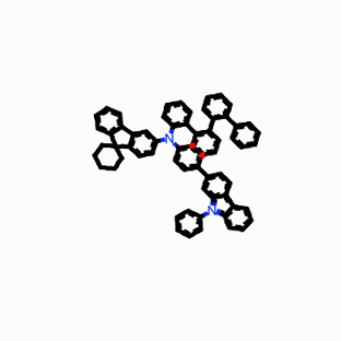 c1ccc(-c2ccccc2-c2ccccc2-c2ccccc2N(c2ccc(-c3ccc4c5ccccc5n(-c5ccccc5)c4c3)cc2)c2ccc3c(c2)-c2ccccc2C32CCCCC2)cc1